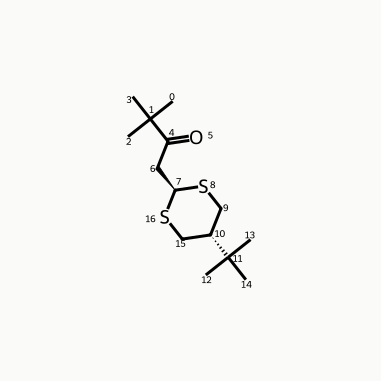 CC(C)(C)C(=O)C[C@H]1SC[C@H](C(C)(C)C)CS1